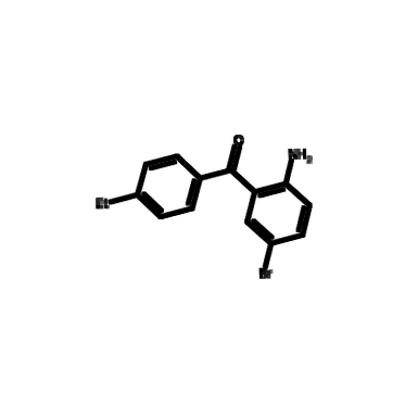 CCc1ccc(C(=O)c2cc(Br)ccc2N)cc1